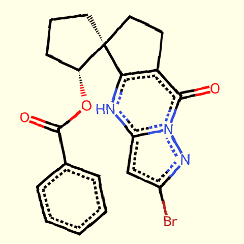 O=C(O[C@@H]1CCC[C@@]12CCc1c2[nH]c2cc(Br)nn2c1=O)c1ccccc1